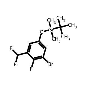 CC(C)(C)[Si](C)(C)Oc1cc(Br)c(F)c(C(F)F)c1